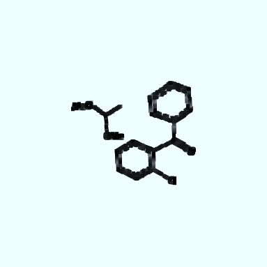 COC(C)OC.O=C(c1ccccc1)c1ccccc1Cl